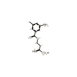 Cc1cc(N)cc(C(=O)OCCC(=N)C(=O)O)c1